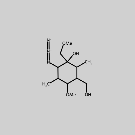 COCC1(O)C(C)C(CO)C(OC)C(C)C1N=[N+]=[N-]